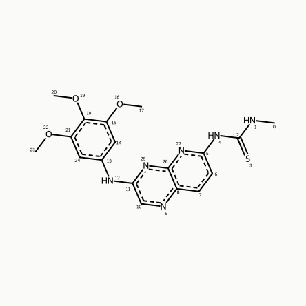 CNC(=S)Nc1ccc2ncc(Nc3cc(OC)c(OC)c(OC)c3)nc2n1